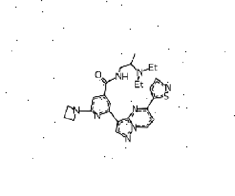 CCN(CC)C(C)CNC(=O)c1cc(-c2cnn3ccc(-c4ccns4)nc23)nc(N2CCC2)c1